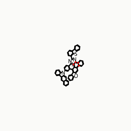 c1ccc(-c2nc(-c3ccc(-n4c5ccccc5c5cc6ccccc6cc54)cc3-c3c4ccccc4cc4oc5ccccc5c34)nc(-c3cccc4c3sc3ccccc34)n2)cc1